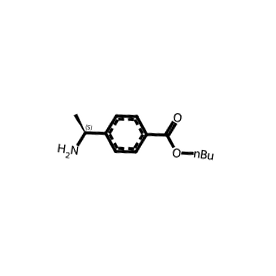 CCCCOC(=O)c1ccc([C@H](C)N)cc1